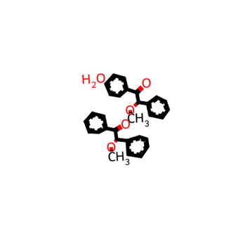 COC(C(=O)c1ccccc1)c1ccccc1.COC(C(=O)c1ccccc1)c1ccccc1.O